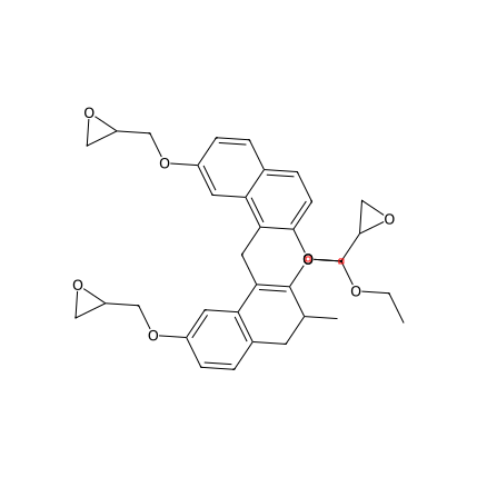 CCOCOc1ccc2ccc(OCC3CO3)cc2c1CC1=C(OCC2CO2)C(C)Cc2ccc(OCC3CO3)cc21